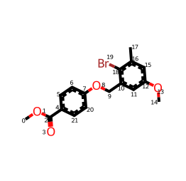 COC(=O)c1ccc(OCc2cc(OC)cc(C)c2Br)cc1